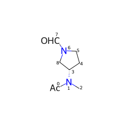 CC(=O)N(C)[C@H]1CCN(C=O)C1